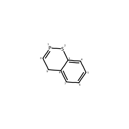 C1=PSc2ccccc2C1